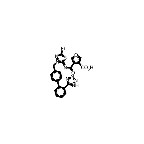 CCc1nn(Cc2ccc(-c3ccccc3-c3nnn[nH]3)cc2)c(=NC(=O)c2cocc2C(=O)O)s1